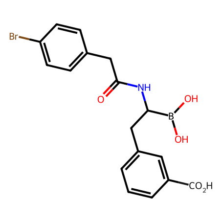 O=C(Cc1ccc(Br)cc1)NC(Cc1cccc(C(=O)O)c1)B(O)O